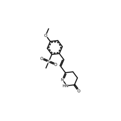 COc1ccc(C=CC2=NNC(=O)CC2)c(S(C)(=O)=O)c1